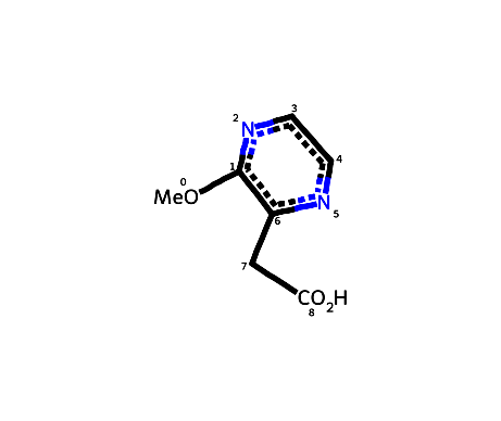 COc1nccnc1CC(=O)O